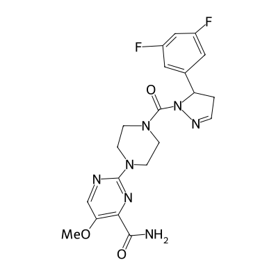 COc1cnc(N2CCN(C(=O)N3N=CCC3c3cc(F)cc(F)c3)CC2)nc1C(N)=O